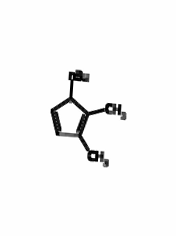 CCCC[C]1C=CC(C)=C1C